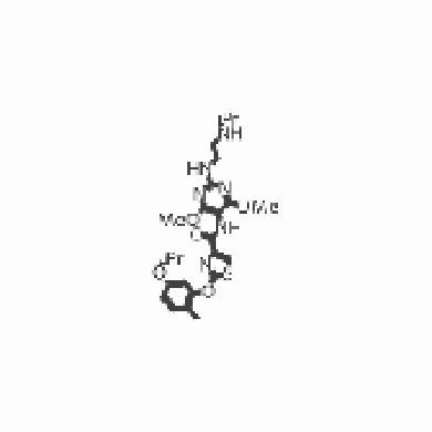 COc1nc(NCCNC(C)C)nc(OC)c1NC(=O)c1csc(Oc2cc(OC(C)C)ccc2C)n1